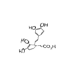 O=C(O)C=Cc1ccc(O)c(O)c1C=Cc1ccc(O)c(O)c1